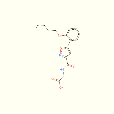 CCCCOc1ccccc1-c1cc(C(=O)NCC(=O)O)no1